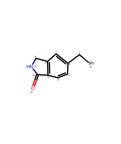 CC(C)Cc1ccc2c(c1)CNC2=O